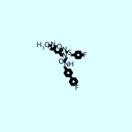 Cn1cc(Cc2cn(CC(=O)NCc3ccc(-c4ccc(F)cc4)cc3)c(SCc3ccc(F)cc3)nc2=O)cn1